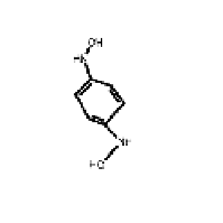 ONc1ccc(NO)cc1